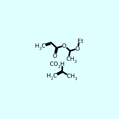 C=C(C)C(=O)O.C=CC(=O)OC(C)OCC